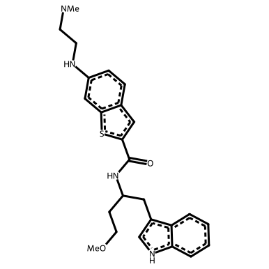 CNCCNc1ccc2cc(C(=O)NC(CCOC)Cc3c[nH]c4ccccc34)sc2c1